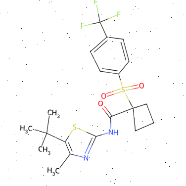 Cc1nc(NC(=O)C2(S(=O)(=O)c3ccc(C(F)(F)F)cc3)CCC2)sc1C(C)(C)C